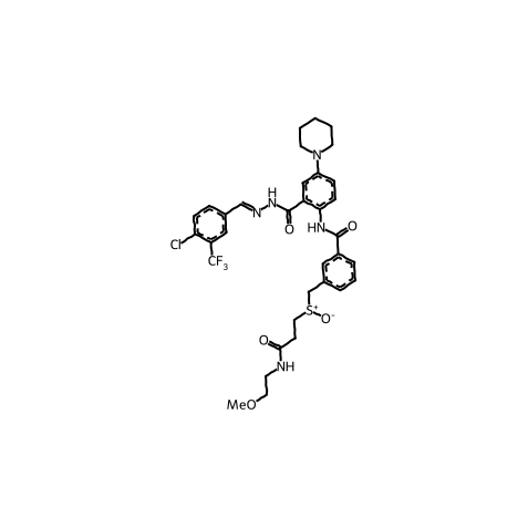 COCCNC(=O)CC[S+]([O-])Cc1cccc(C(=O)Nc2ccc(N3CCCCC3)cc2C(=O)NN=Cc2ccc(Cl)c(C(F)(F)F)c2)c1